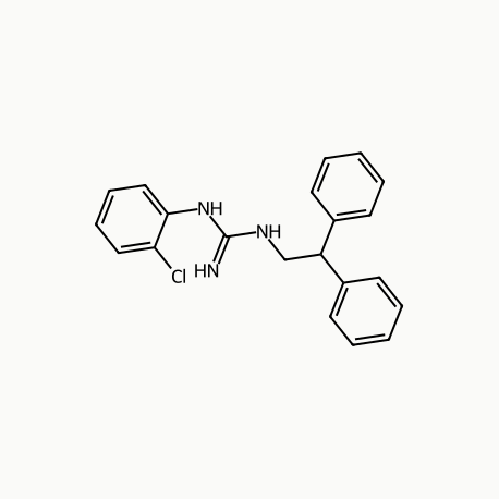 N=C(NCC(c1ccccc1)c1ccccc1)Nc1ccccc1Cl